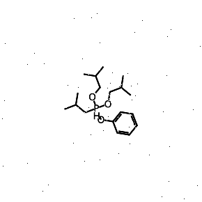 CC(C)CO[PH](CC(C)C)(OCC(C)C)Oc1ccccc1